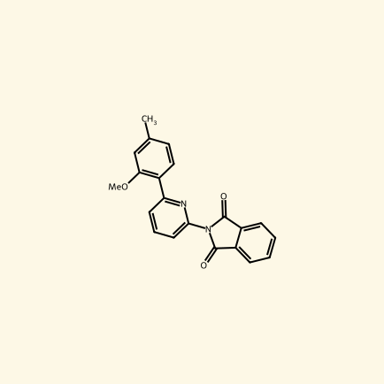 COc1cc(C)ccc1-c1cccc(N2C(=O)c3ccccc3C2=O)n1